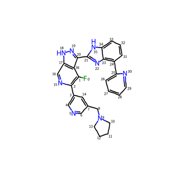 Fc1c(-c2cncc(CN3CCCC3)c2)ncc2[nH]nc(-c3nc4c(-c5ccccn5)cccc4[nH]3)c12